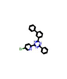 Brc1ccc(-c2nc(-c3ccccc3)nc(-c3cccc(-c4ccccc4)c3)n2)nc1